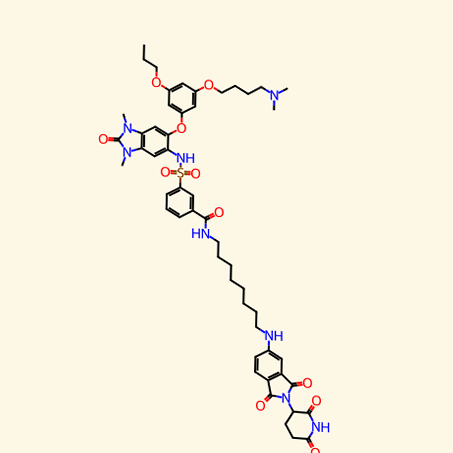 CCCOc1cc(OCCCCN(C)C)cc(Oc2cc3c(cc2NS(=O)(=O)c2cccc(C(=O)NCCCCCCCCNc4ccc5c(c4)C(=O)N(C4CCC(=O)NC4=O)C5=O)c2)n(C)c(=O)n3C)c1